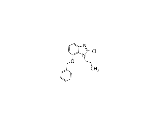 CCCn1c(Cl)nc2cccc(OCc3ccccc3)c21